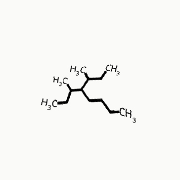 CCCCC(C(C)CC)C(C)CC